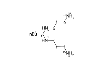 CCCCC(NCCC[15NH2])NCCC[15NH2]